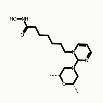 C[C@@H]1CN(C2N=CC=CN2CCCCCCC(=O)NO)C[C@H](C)O1